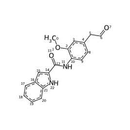 COc1cc(CC=O)ccc1NC(=O)c1cc2ccccc2[nH]1